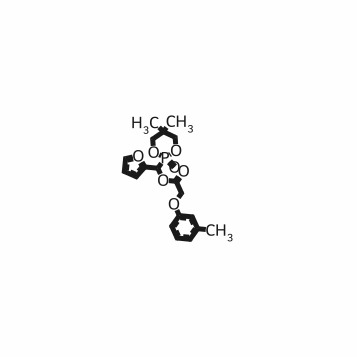 Cc1cccc(OCC(=O)OC(c2ccco2)P2(=O)OCC(C)(C)CO2)c1